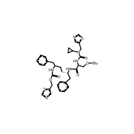 CC(C)(C)OCC(NC(=O)N(Cc1cncs1)C1CC1)C(=O)N[C@@H](CCC(Cc1ccccc1)NC(=O)OCc1cncs1)Cc1ccccc1